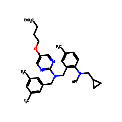 CCCN(CC1CC1)c1ccc(C(F)(F)F)cc1CN(Cc1cc(C(F)(F)F)cc(C(F)(F)F)c1)c1ncc(OCCCC(=O)OCC)cn1